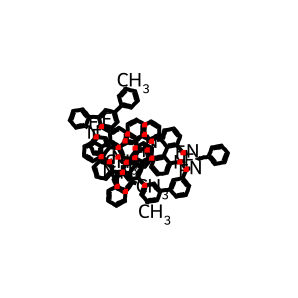 Cc1cccc(-c2ccc3c(c2)c2ccccc2n3-c2cccc(-c3nc(-c4ccccc4)nc(-c4ccccc4)n3)c2-c2c(-n3c4ccccc4c4cc(-c5cc(C)cc(-c6cccc(-c7nc(-c8ccccc8)nc(-c8cccc(-n9c%10ccccc%10c%10cc(-c%11ccccc%11C)ccc%109)c8-c8c(-n9c%10ccccc%10c%10cc(-c%11ccccc%11C)ccc%109)cccc8C(F)(F)F)n7)c6)c5)ccc43)cccc2C(F)(F)F)c1